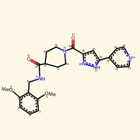 COc1cccc(OC)c1CNC(=O)C1CCN(C(=O)c2cc(-c3ccncc3)[nH]n2)CC1